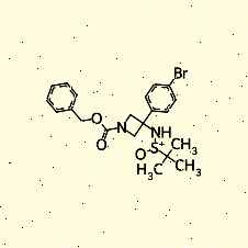 CC(C)(C)[S+]([O-])NC1(c2ccc(Br)cc2)CN(C(=O)OCc2ccccc2)C1